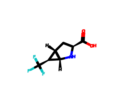 O=C(O)[C@@H]1C[C@@H]2[C@H](N1)[C@H]2C(F)(F)F